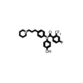 O=C(c1ccc(F)cc1C(F)(F)F)N(c1ccc(O)cc1)c1ccc(CCCN2CCCCC2)cc1